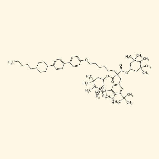 CCCCCC1CCC(c2ccc(-c3ccc(OCCCCCCC(Cc4cc(C(C)(C)C)c(O)c(C(C)(C)C)c4)(C(=O)OC4CC(C)(C)N(C)C(C)(C)C4)C(=O)OC4CC(C)(C)N(C)C(C)(C)C4)cc3)cc2)CC1